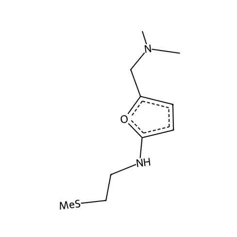 CSCCNc1ccc(CN(C)C)o1